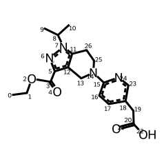 CCOC(=O)c1nn(C(C)C)c2c1CN(c1ccc(CC(=O)O)cn1)CC2